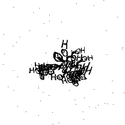 O=C(CO)C(O)C(O)C(O)CO.O=C(CO)C(O)C(O)C(O)CO.O=P(O)(O)OP(=O)(O)O.O=P(O)(O)OP(=O)(O)O